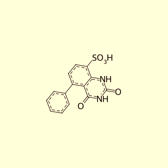 O=c1[nH]c(=O)c2c(-c3ccccc3)ccc(S(=O)(=O)O)c2[nH]1